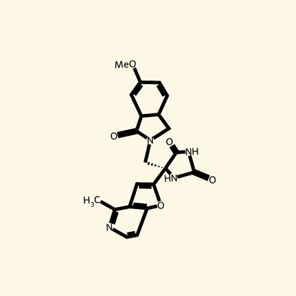 COC1=CC2C(=O)N(C[C@@]3(c4cc5c(C)nccc5o4)NC(=O)NC3=O)CC2C=C1